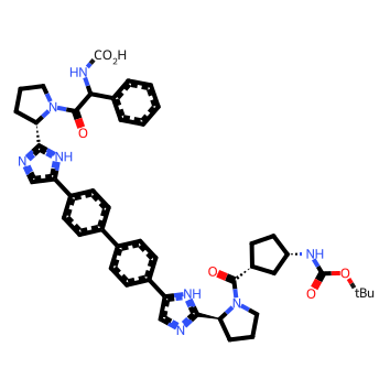 CC(C)(C)OC(=O)N[C@H]1CC[C@@H](C(=O)N2CCC[C@H]2c2ncc(-c3ccc(-c4ccc(-c5cnc([C@@H]6CCCN6C(=O)C(NC(=O)O)c6ccccc6)[nH]5)cc4)cc3)[nH]2)C1